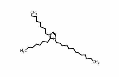 CCCCCCCCCCCCCn1cc[n+](CCCCCCCC)c1CCCCCCC